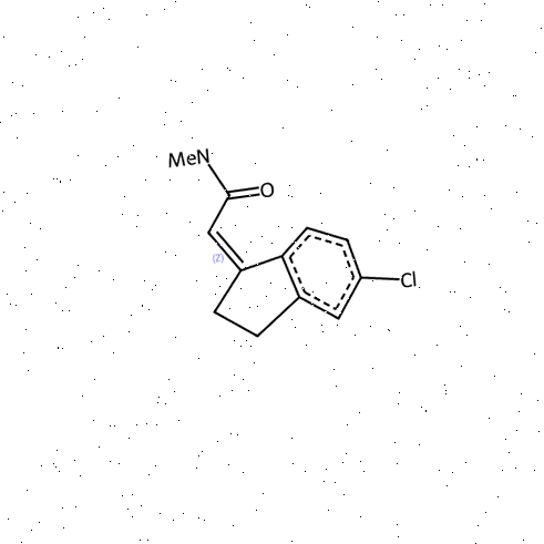 CNC(=O)/C=C1/CCc2cc(Cl)ccc21